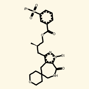 CCn1nc(C[C@@H](C)COC(=O)c2cccc(S(=O)(=O)C(C)C)c2)c2c1C(=O)NCC1(CCOCC1)C2